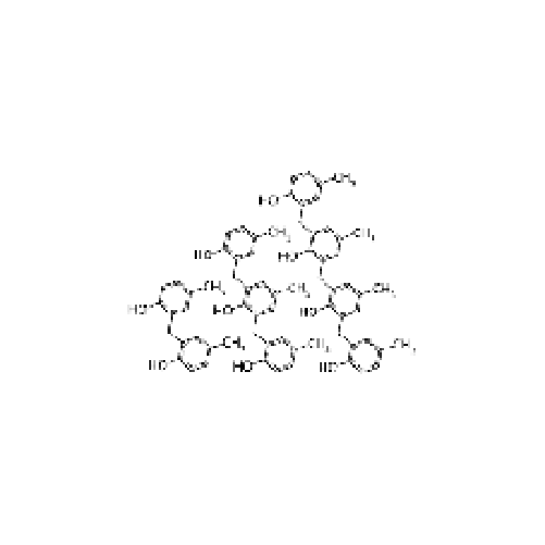 Cc1ccc(O)c(Cc2cc(C)cc(Cc3cc(C)cc(Cc4cc(C)ccc4O)c3O)c2O)c1.Cc1ccc(O)c(Cc2cc(C)cc(Cc3cc(C)ccc3O)c2O)c1.Cc1ccc(O)c(Cc2cc(C)ccc2O)c1